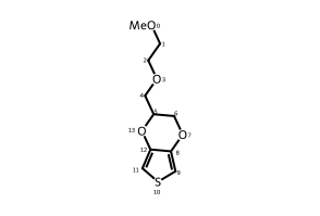 COCCOCC1COc2cscc2O1